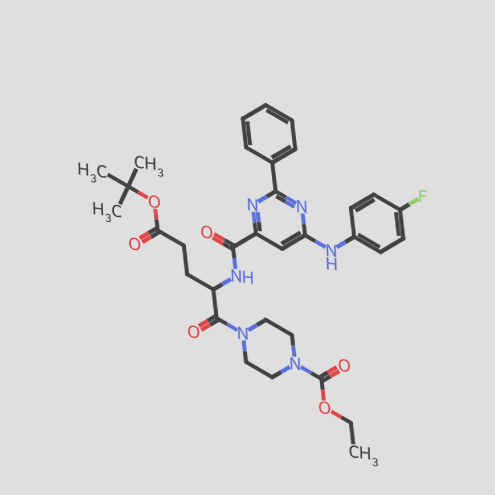 CCOC(=O)N1CCN(C(=O)C(CCC(=O)OC(C)(C)C)NC(=O)c2cc(Nc3ccc(F)cc3)nc(-c3ccccc3)n2)CC1